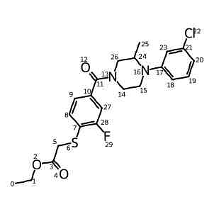 CCOC(=O)CSc1ccc(C(=O)N2CCN(c3cccc(Cl)c3)C(C)C2)cc1F